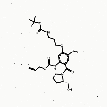 C=CCOC(=O)Nc1cc(OCCCNC(=O)OC(C)(C)C)c(OC)cc1C(=O)N1CCC[C@H]1CO